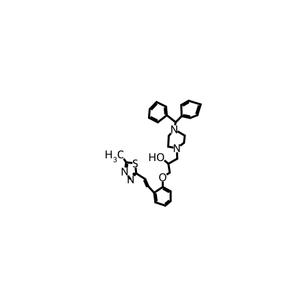 Cc1nnc(C=Cc2ccccc2OCC(O)CN2CCN(C(c3ccccc3)c3ccccc3)CC2)s1